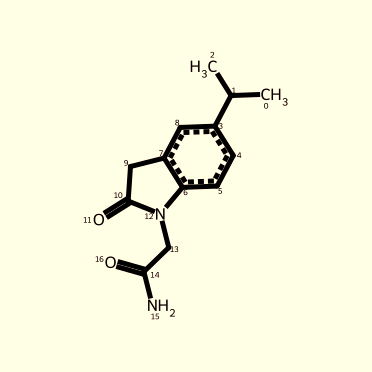 CC(C)c1ccc2c(c1)CC(=O)N2CC(N)=O